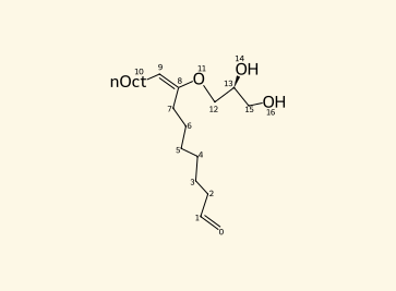 C=CCCCCCC/C(=C\CCCCCCCC)OC[C@@H](O)CO